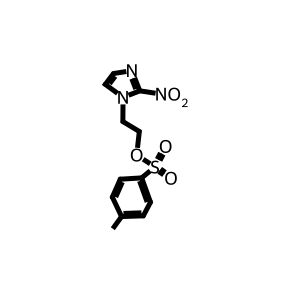 Cc1ccc(S(=O)(=O)OCCn2ccnc2[N+](=O)[O-])cc1